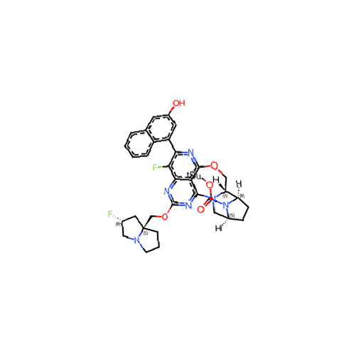 CC(C)(C)OC(=O)N1[C@H]2CC[C@@H]1[C@H]1COc3nc(-c4cc(O)cc5ccccc45)c(F)c4nc(OC[C@@]56CCCN5C[C@H](F)C6)nc(c34)N1C2